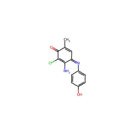 CC1=C/C(=N/c2ccc(O)cc2)C(N)=C(Cl)C1=O